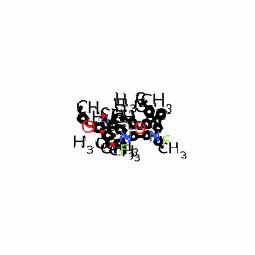 C=CC1=C(/C=C\C)C(c2ccc(Oc3ccc(C=C)cc3)cc2)(c2ccc(C(C)(C)C)cc2)c2cc(N(c3ccc(-c4ccc(N(c5ccc(C)c(F)c5)c5ccc6c(c5)C(c5ccc(Oc7ccc(C=C)cc7)cc5)(c5ccc(C(C)(C)C)cc5)c5ccccc5-6)cc4)cc3)c3ccc(C)c(F)c3)ccc21